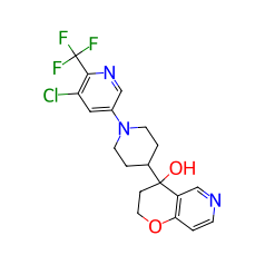 OC1(C2CCN(c3cnc(C(F)(F)F)c(Cl)c3)CC2)CCOc2ccncc21